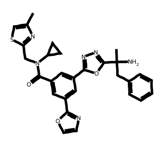 Cc1csc(CN(C(=O)c2cc(-c3ncco3)cc(-c3nnc(C(C)(N)Cc4ccccc4)o3)c2)C2CC2)n1